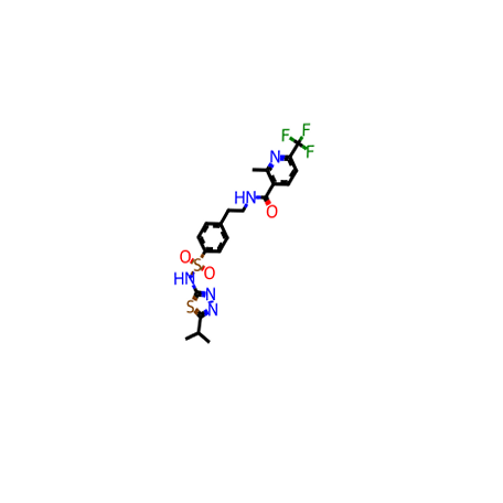 Cc1nc(C(F)(F)F)ccc1C(=O)NCCc1ccc(S(=O)(=O)Nc2nnc(C(C)C)s2)cc1